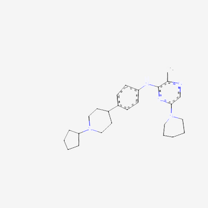 N#Cc1ncc(N2CCCCC2)nc1Nc1ccc(C2CCN(C3CCCC3)CC2)cc1